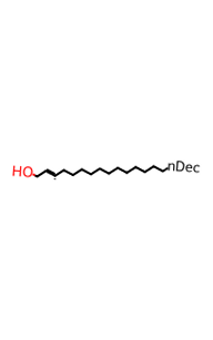 CCCCCCCCCCCCCCCCCCCCCC[C]=CCO